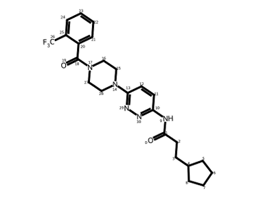 O=C(CCC1CCCC1)Nc1ccc(N2CCN(C(=O)c3ccccc3C(F)(F)F)CC2)nn1